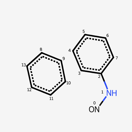 O=NNc1ccccc1.c1ccccc1